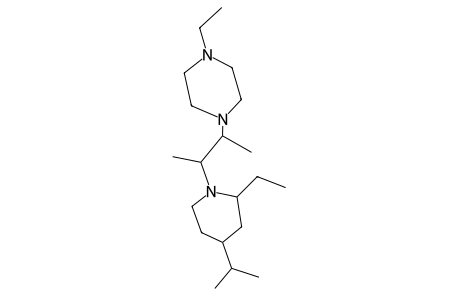 CCC1CC(C(C)C)CCN1C(C)C(C)N1CCN(CC)CC1